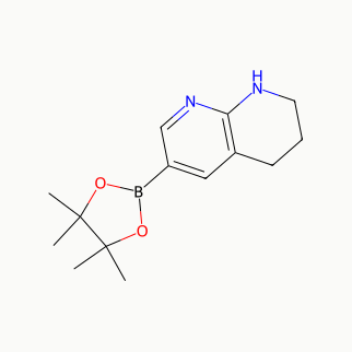 CC1(C)OB(c2cnc3c(c2)CCCN3)OC1(C)C